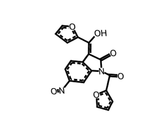 O=Nc1ccc2c(c1)N(C(=O)c1ccco1)C(=O)/C2=C(\O)c1ccco1